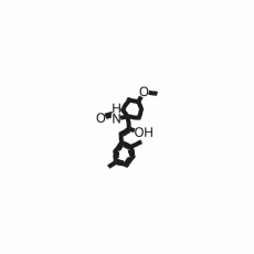 COC1CCC(NC=O)(/C(O)=C/c2cc(C)ccc2C)CC1